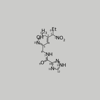 CCC(/C(C)=C/C(CNC(=O)c1nc[nH]n1)=N\O)[N+](=O)[O-]